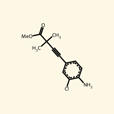 COC(=O)C(C)(C)C#Cc1ccc(N)c(Cl)c1